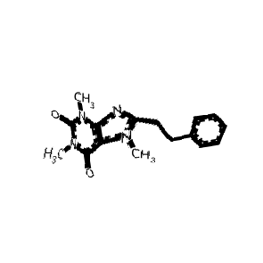 Cn1c(=O)c2c(nc(CCc3ccccc3)n2C)n(C)c1=O